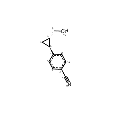 N#Cc1ccc([C@H]2C[C@@H]2CO)cc1